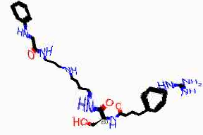 N=C(N)Nc1ccc(CCCC(=O)N[C@@H](CO)C(=O)NCCCCNCCCNC(=O)CNc2ccccc2)cc1